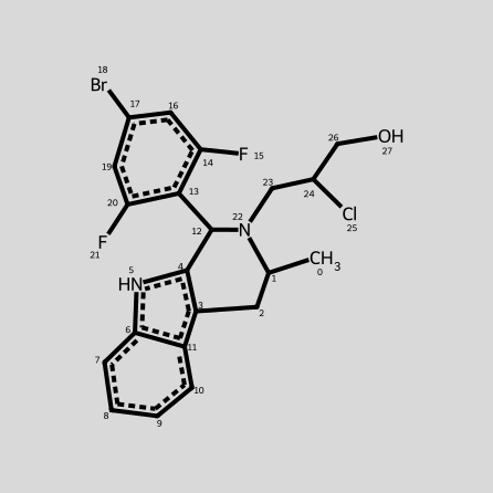 CC1Cc2c([nH]c3ccccc23)C(c2c(F)cc(Br)cc2F)N1CC(Cl)CO